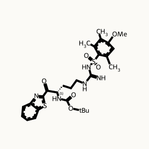 COc1cc(C)c(S(=O)(=O)NC(=N)NCCC[C@H](NC(=O)OC(C)(C)C)C(=O)c2nc3ccccc3s2)c(C)c1C